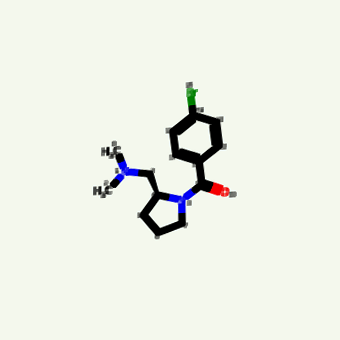 CN(C)C[C@@H]1CCCN1C(=O)c1ccc(Br)cc1